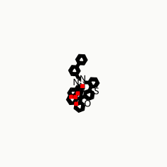 c1ccc(-c2cccc(-c3nc(-c4ccccc4)nc(-c4cccc5sc6cc7c(cc6c45)C4(c5ccccc5O7)c5ccccc5-c5ccccc54)n3)c2)cc1